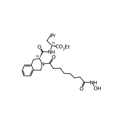 CCOC(=O)[C@H](CC(C)C)NC(=O)[C@@H]1Cc2ccccc2CN1C(=O)CCCCCCC(=O)NO